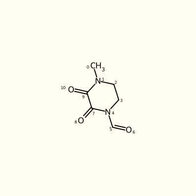 CN1CCN([C]=O)C(=O)C1=O